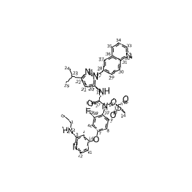 CCNc1cc(Oc2ccc(N(OS(C)(=O)=O)C(=O)Nc3cc(C(C)C)nn3-c3ccc4ncccc4c3)c(F)c2)ccn1